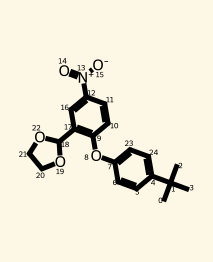 CC(C)(C)c1ccc(Oc2ccc([N+](=O)[O-])cc2C2OCCO2)cc1